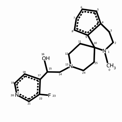 CN1CCc2ccccc2C12CCN(CC(O)c1ccncc1F)CC2